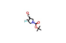 CC(C)(C)OC(=O)N1CC(=C=O)[C@@H](F)C1